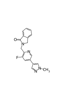 Cn1cc(-c2cnc(CN3Cc4ccccc4C3=O)c(F)c2)cn1